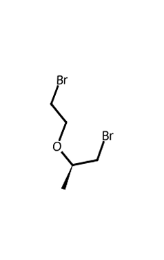 C[C@H](CBr)OCCBr